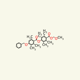 COCOC(=O)c1c(C)c(C)c(OC(=O)c2c(C)cc(OCc3ccccc3)c(C)c2C)c(C)c1C